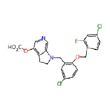 O=C(O)Oc1cncc2c1CCN2Cc1cc(Cl)ccc1OCc1ccc(Cl)cc1F